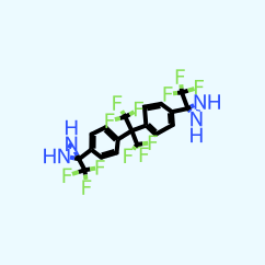 FC(F)(F)C1(c2ccc(C(c3ccc(C4(C(F)(F)F)NN4)cc3)(C(F)(F)F)C(F)(F)F)cc2)NN1